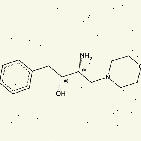 N[C@H](CN1CCOCC1)[C@H](O)Cc1ccccc1